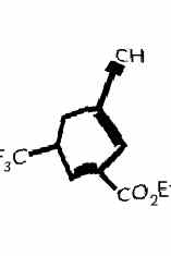 C#CC1=CC(C(=O)OCC)=CC(C(F)(F)F)C1